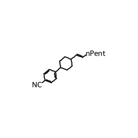 CCCCC/C=C/C1CCC(c2ccc(C#N)cc2)CC1